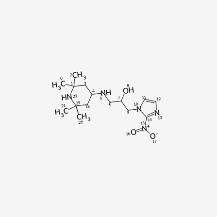 CC1(C)CC(NCC(O)Cn2ccnc2[N+](=O)[O-])CC(C)(C)N1